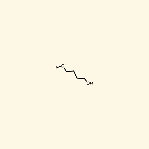 OCCCCOI